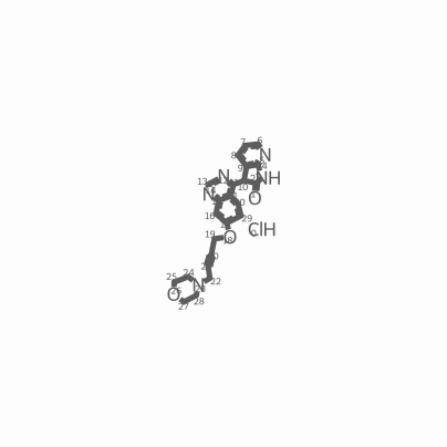 Cl.O=C1Nc2ncccc2C1c1ncnc2cc(OCC#CCN3CCOCC3)ccc12